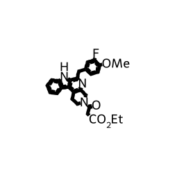 CCOC(=O)CC(=O)N1CCc2c(nc(Cc3ccc(OC)c(F)c3)c3[nH]c4ccccc4c23)C1